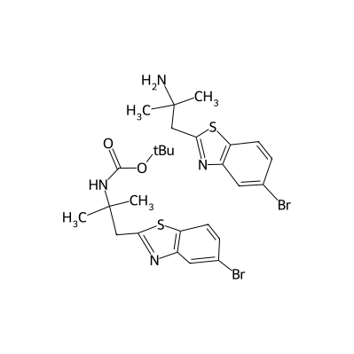 CC(C)(Cc1nc2cc(Br)ccc2s1)NC(=O)OC(C)(C)C.CC(C)(N)Cc1nc2cc(Br)ccc2s1